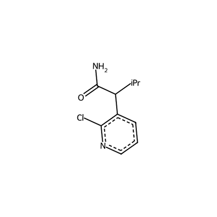 CC(C)C(C(N)=O)c1cccnc1Cl